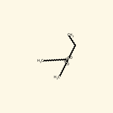 CCCCCCCCCC/C=C\CCCCCCCCCC(=O)OC[C@@H](COC(=O)CCCCCCCCCCCCC)OC(=O)CCCCCCCCCCCCCCCCCCC